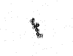 CC(C)(C)OC(=O)N1CCC(n2c(=O)n(-c3ccc(-c4ccc(O)c(C#N)c4)nc3)c3cccnc32)C1